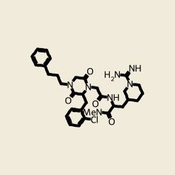 CNC(=O)C(CC1CCCN(C(=N)N)C1)NC(=O)CN1C(=O)CN(CCCc2ccccc2)C(=O)C1Cc1ccccc1Cl